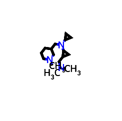 CN(C)CC1CC1N(CC1CCCN(C)C1)C1CC1